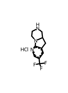 Cl.FC(F)(F)c1cnc2c(c1)CC1CNCCN21